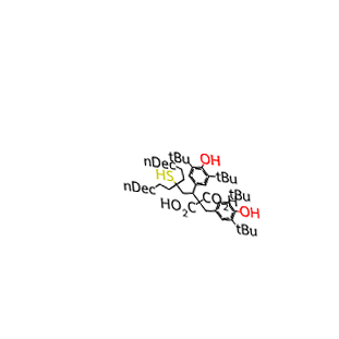 CCCCCCCCCCCCC(S)(CCCCCCCCCCCC)CC(c1cc(C(C)(C)C)c(O)c(C(C)(C)C)c1)C(Cc1cc(C(C)(C)C)c(O)c(C(C)(C)C)c1)(C(=O)O)C(=O)O